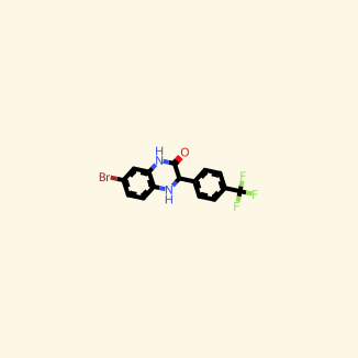 O=C1Nc2cc(Br)ccc2NC1c1ccc(C(F)(F)F)cc1